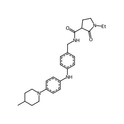 CCN1CCC(C(=O)NCc2ccc(Nc3ccc(N4CCC(C)CC4)cc3)cc2)C1=O